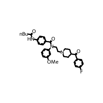 CCCCC(=O)Nc1ccc(C(=O)N(CCN2CCC(C(=O)c3ccc(F)cc3)CC2)c2cccc(OC)c2)cc1